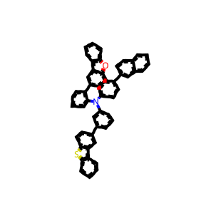 c1cc(-c2ccc3sc4ccccc4c3c2)cc(N(c2ccc(-c3ccc4ccccc4c3)cc2)c2ccccc2-c2ccc3oc4ccccc4c3c2)c1